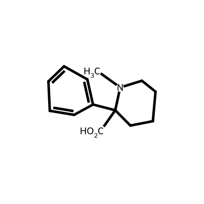 CN1CCCCC1(C(=O)O)c1ccccc1